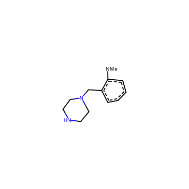 CNc1ccccc1CN1CCNCC1